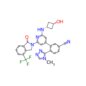 Cn1cnnc1-c1ccc(C#N)cc1-c1cc(N[C@H]2C[C@H](O)C2)nc(N2Cc3c(cccc3C(F)(F)F)C2=O)c1